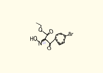 CCOC(=O)/C(=N\O)C(=O)c1ccc(Br)cc1